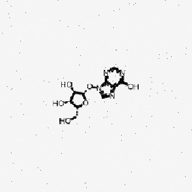 OC[C@H]1O[C@@H](On2cnc3c(O)ncnc32)[C@H](O)[C@@H]1O